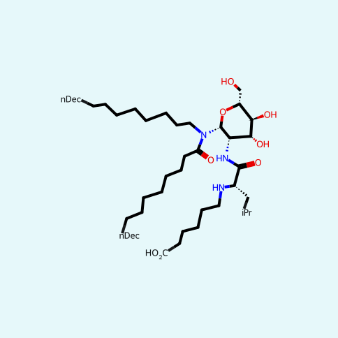 CCCCCCCCCCCCCCCCCCN(C(=O)CCCCCCCCCCCCCCCCC)[C@@H]1O[C@H](CO)[C@@H](O)[C@H](O)[C@@H]1NC(=O)[C@H](CC(C)C)NCCCCCC(=O)O